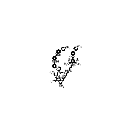 CCCN(CC(=O)N(CCC)CC(=O)N(CCC)CC(=O)N(CC(N)=O)C/C(N)=C/NCCCNC(=O)CCCOc1c(C(C)(C)C)cc(-c2nc3cc(N4CCN(C)CC4)ccc3[nH]2)cc1C(C)(C)C)C(=O)CCCOc1cccc(-c2nc3ccc(-c4nc5ccc(N6CCN(C)CC6)cc5[nH]4)cc3[nH]2)c1